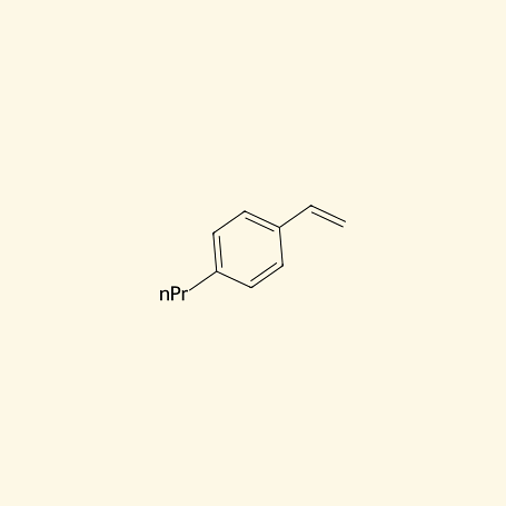 C=Cc1ccc(CCC)cc1